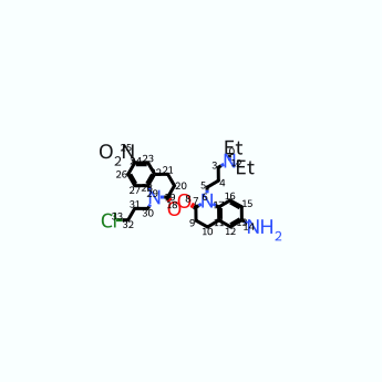 CCN(CC)CCCN1C(=O)CCc2cc(N)ccc21.O=C1CCc2cc([N+](=O)[O-])ccc2N1CCCCl